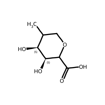 CC1COC(C(=O)O)[C@@H](O)[C@H]1O